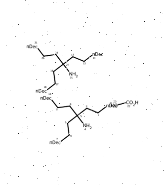 CCCCCCCCCCCCC(N)(CCCCCCCCCCCC)CCCCCCCCCCCC.CCCCCCCCCCCCC(N)(CCCCCCCCCCCC)CCCCCCCCCCCC.O=C(O)O